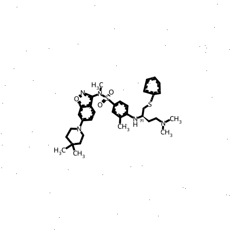 Cc1cc(S(=O)(=O)N(C)c2noc3cc(N4CCC(C)(C)CC4)ccc23)ccc1N[C@H](CCN(C)C)CSc1ccccc1